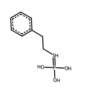 OP(O)(O)=[SH]CCc1ccccc1